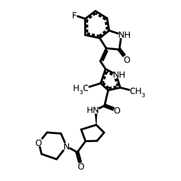 Cc1[nH]c(/C=C2\C(=O)Nc3ccc(F)cc32)c(C)c1C(=O)N[C@H]1CCC(C(=O)N2CCOCC2)C1